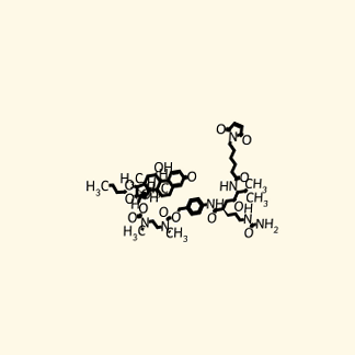 CCCC1O[C@@H]2C[C@H]3[C@@H]4CCC5=CC(=O)C=C[C@]5(C)[C@H]4[C@@H](O)C[C@]3(C)[C@]2(C(=O)COC(=O)N(C)CCN(C)C(=O)OCc2ccc(NC(=O)[C@H](CCCNC(N)=O)CC(=O)[C@@H](NC(=O)CCCCCN3C(=O)C=CC3=O)C(C)C)cc2)O1